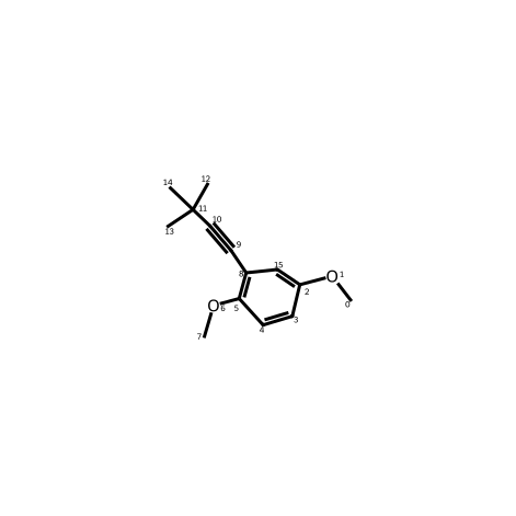 COc1ccc(OC)c(C#CC(C)(C)C)c1